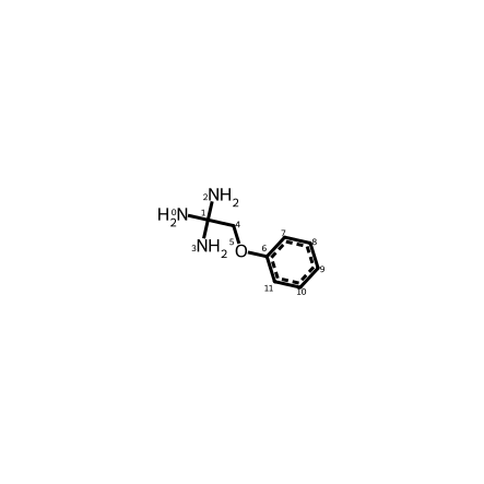 NC(N)(N)COc1ccccc1